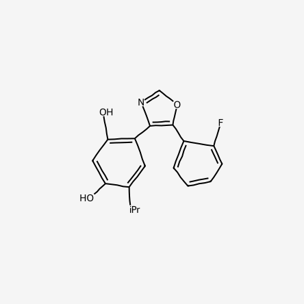 CC(C)c1cc(-c2ncoc2-c2ccccc2F)c(O)cc1O